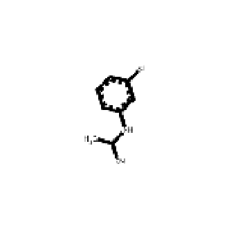 CC(C#N)Nc1cccc(Cl)c1